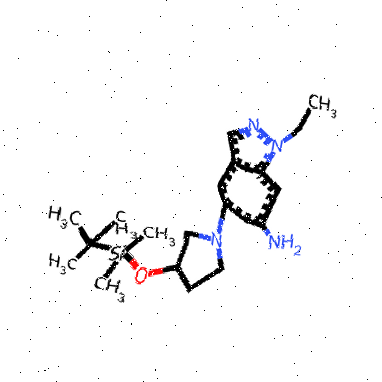 CCn1ncc2cc(N3CCC(O[Si](C)(C)C(C)(C)C)C3)c(N)cc21